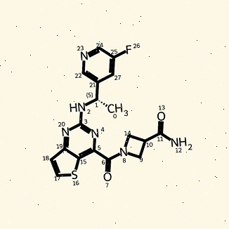 C[C@H](Nc1nc(C(=O)N2CC(C(N)=O)C2)c2sccc2n1)c1cncc(F)c1